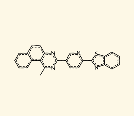 Cc1nc(-c2ccc(-c3nc4ccccc4s3)nc2)nc2ccc3ccccc3c12